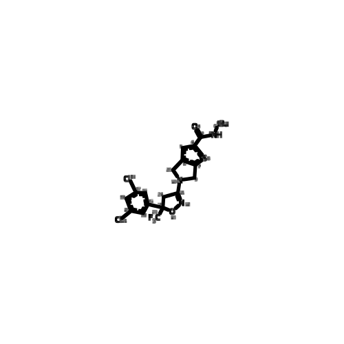 CC(C)(C)NC(=O)c1cc2c(s1)CN(C1=NOC(c3cc(Cl)cc(Cl)c3)(C(F)(F)F)C1)C2